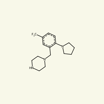 FC(F)(F)c1ccc(N2CCCC2)c(CN2CCNCC2)c1